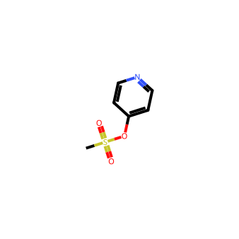 CS(=O)(=O)Oc1ccncc1